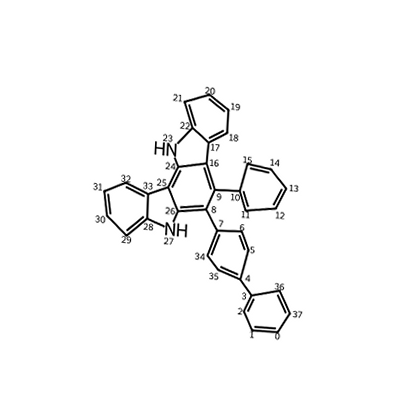 c1ccc(-c2ccc(-c3c(-c4ccccc4)c4c5ccccc5[nH]c4c4c3[nH]c3ccccc34)cc2)cc1